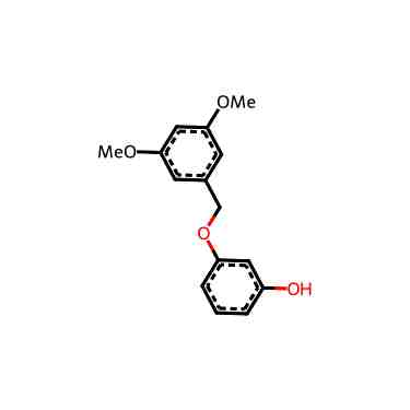 COc1cc(COc2cccc(O)c2)cc(OC)c1